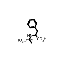 C[C@H](NC(Cc1ccccc1)C(=O)O)C(=O)O